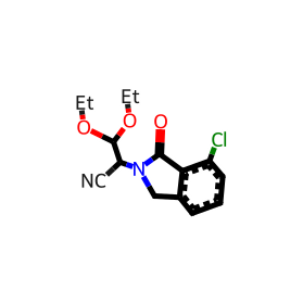 CCOC(OCC)C(C#N)N1Cc2cccc(Cl)c2C1=O